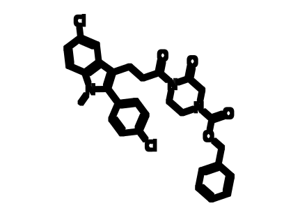 Cn1c(-c2ccc(Cl)cc2)c(CCC(=O)N2CCN(C(=O)OCc3ccccc3)CC2=O)c2cc(Cl)ccc21